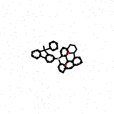 CC1(c2ccccc2)c2ccccc2-c2ccc(N(c3ccccc3)c3ccccc3-c3cccc4cccc(C5CCCCC5)c34)cc21